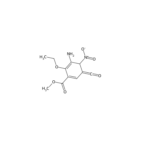 CCOC1=C(N)C([N+](=O)[O-])C(=C=O)C=C1C(=O)OC